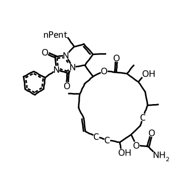 CCCCCC1C=C(C)C(C2CC(C)C/C=C/CCC(O)C(OC(N)=O)CCC(C)CC(O)C(C)C(=O)O2)n2c(=O)n(-c3ccccc3)c(=O)n21